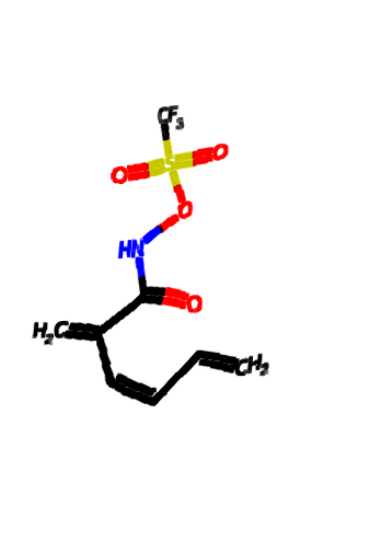 C=C/C=C\C(=C)C(=O)NOS(=O)(=O)C(F)(F)F